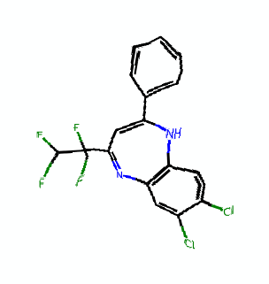 FC(F)C(F)(F)C1=Nc2cc(Cl)c(Cl)cc2NC(c2ccccc2)=C1